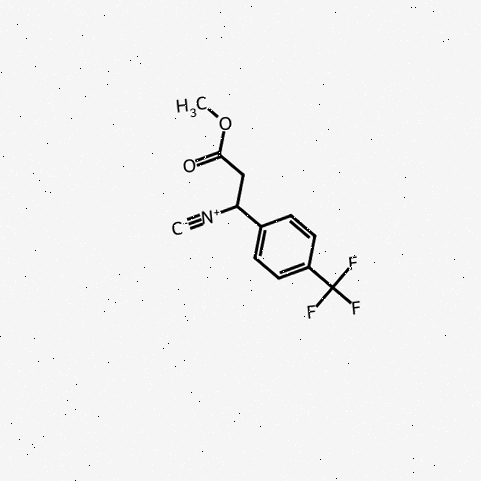 [C-]#[N+]C(CC(=O)OC)c1ccc(C(F)(F)F)cc1